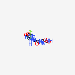 Cn1nc(C2CCC(=O)NC2=O)c2cccc(N3CCN(C(=O)C4CCN(c5ncc(Cl)c(Nc6ccc7c(c6)c6c(c(=O)n7C)OCC(F)(F)C(C7CC7)N6)n5)CC4)CC3)c21